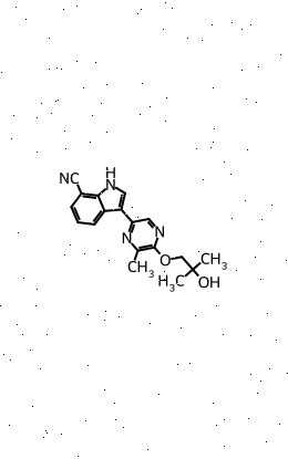 Cc1nc(-c2c[nH]c3c(C#N)cccc23)cnc1OCC(C)(C)O